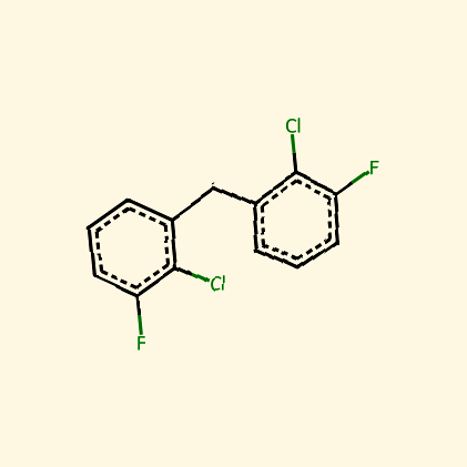 Fc1cccc([CH]c2cccc(F)c2Cl)c1Cl